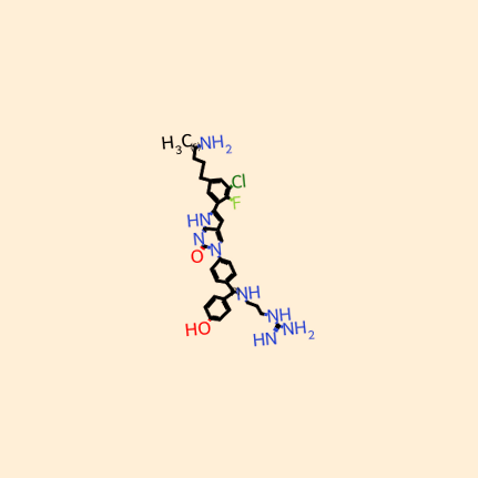 C[C@H](N)CCCc1cc(Cl)c(F)c(-c2cc3cn(-c4ccc([C@@H](NCCCNC(=N)N)c5ccc(O)cc5)cc4)c(=O)nc3[nH]2)c1